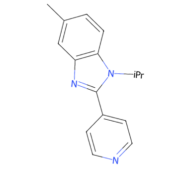 Cc1ccc2c(c1)nc(-c1ccncc1)n2C(C)C